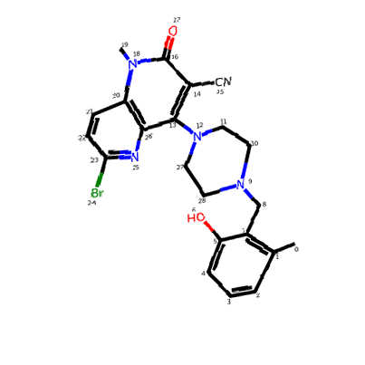 Cc1cccc(O)c1CN1CCN(c2c(C#N)c(=O)n(C)c3ccc(Br)nc23)CC1